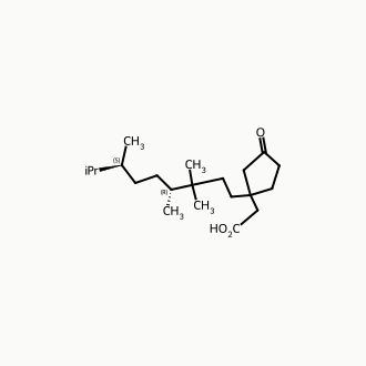 CC(C)[C@@H](C)CC[C@@H](C)C(C)(C)CCC1(CC(=O)O)CCC(=O)C1